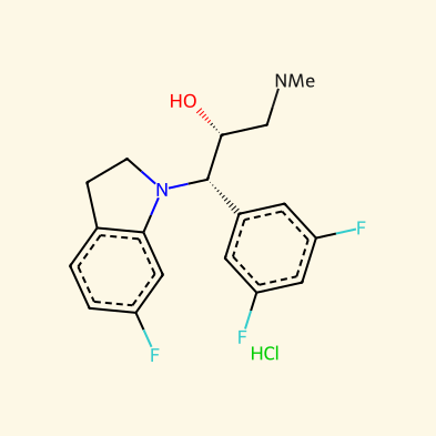 CNC[C@@H](O)[C@H](c1cc(F)cc(F)c1)N1CCc2ccc(F)cc21.Cl